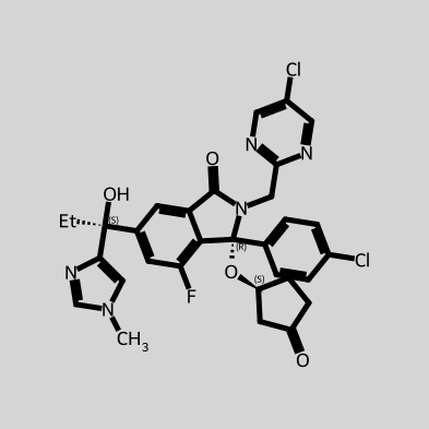 CC[C@](O)(c1cc(F)c2c(c1)C(=O)N(Cc1ncc(Cl)cn1)[C@@]2(O[C@H]1CCC(=O)C1)c1ccc(Cl)cc1)c1cn(C)cn1